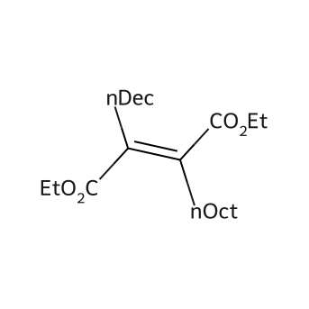 CCCCCCCCCCC(C(=O)OCC)=C(CCCCCCCC)C(=O)OCC